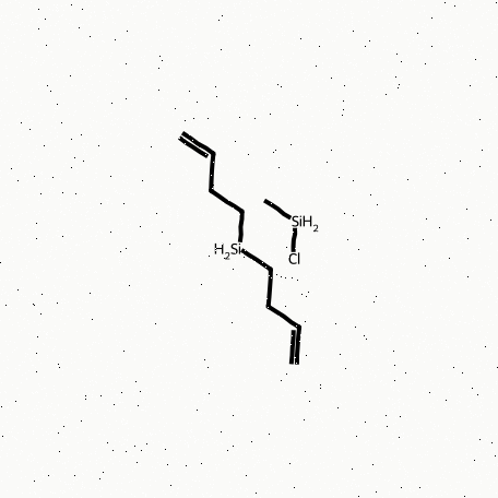 C=CCC[SiH2]CCC=C.C[SiH2]Cl